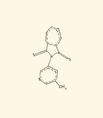 Cc1cncc(N2C(=S)c3ccccc3C2=S)c1